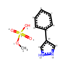 COS(=O)(=O)O.c1ccc(-c2cn[nH]c2)cc1